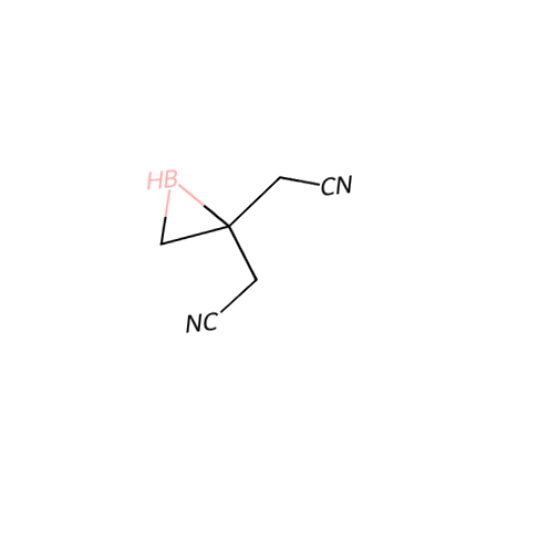 N#CCC1(CC#N)BC1